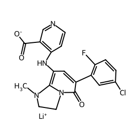 CN1CCn2c1c(Nc1ccncc1C(=O)[O-])cc(-c1cc(Cl)ccc1F)c2=O.[Li+]